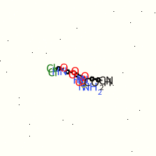 Cc1nc(N)sc1S(=O)(=O)N1Cc2cc3c(cc2CC1C(=O)NC(Cc1ccc(-c2ccc(C#N)cc2)cc1)C(=O)O)OCC(c1ccc(NC(=O)c2ccc(Cl)c(Cl)c2)cc1)O3